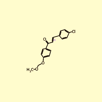 COCOc1ccc(C(=O)/C=C/c2ccc(Cl)cc2)cc1